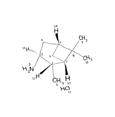 C[C@@H]1[C@@H](N)C[C@H]2C[C@@H]1C2(C)C.Cl